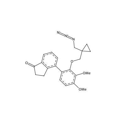 COc1ccc(-c2cccc3c2CCC3=O)c(OCC2(CN=[N+]=[N-])CC2)c1OC